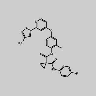 Cc1cc(-c2cc(Oc3ccc(NC(=O)C4(C(=O)Nc5ccc(F)cc5)CC4)c(F)c3)ccn2)on1